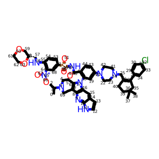 CC(C)N1CCc2c(c3nc4[nH]ccc4cc3n2-c2cc(N3CCN(CC4=C(c5ccc(Cl)cc5)CC(C)(C)CC4)CC3)ccc2C(=O)NS(=O)(=O)c2ccc(NC[C@H]3COCCO3)c([N+](=O)[O-])c2)C1